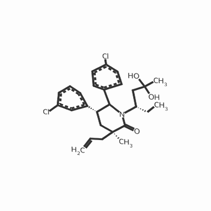 C=CC[C@@]1(C)C[C@H](c2cccc(Cl)c2)C(c2ccc(Cl)cc2)N([C@@H](CC)CC(C)(O)O)C1=O